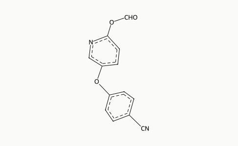 N#Cc1ccc(Oc2ccc(OC=O)nc2)cc1